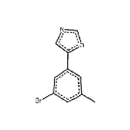 Cc1cc(Br)cc(-c2cnco2)c1